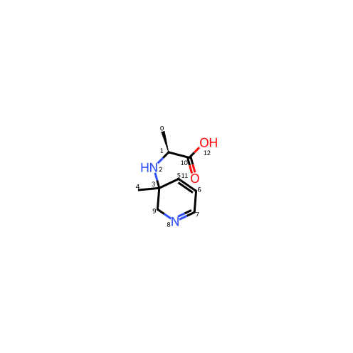 C[C@H](NC1(C)C=CC=NC1)C(=O)O